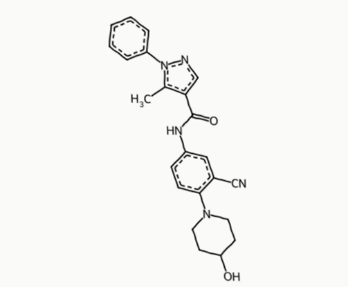 Cc1c(C(=O)Nc2ccc(N3CCC(O)CC3)c(C#N)c2)cnn1-c1ccccc1